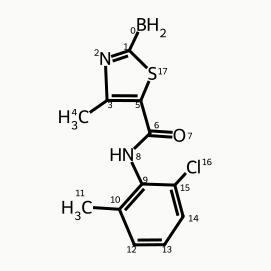 Bc1nc(C)c(C(=O)Nc2c(C)cccc2Cl)s1